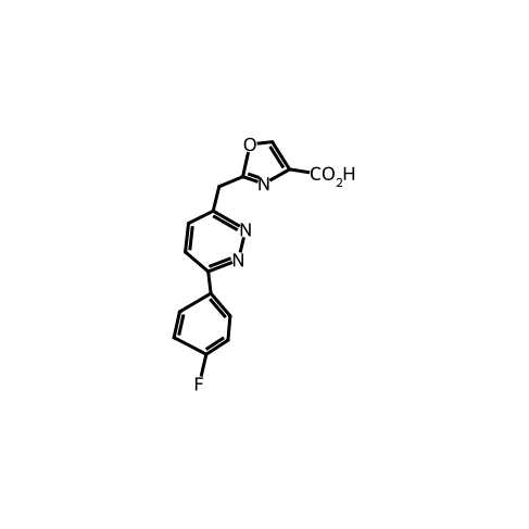 O=C(O)c1coc(Cc2ccc(-c3ccc(F)cc3)nn2)n1